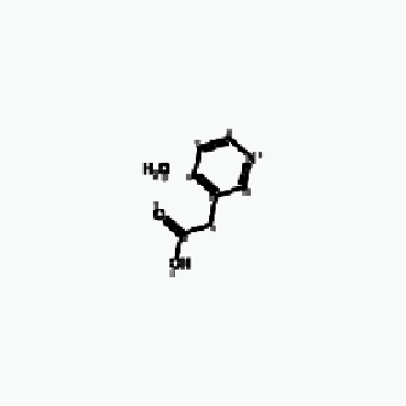 O.O=C(O)Cc1cccnc1